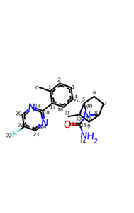 Cc1ccc([C@@]23CCC(CC2C)N3C(N)=O)cc1-c1ncc(F)cn1